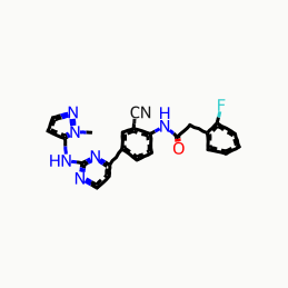 Cn1nccc1Nc1nccc(-c2ccc(NC(=O)Cc3ccccc3F)c(C#N)c2)n1